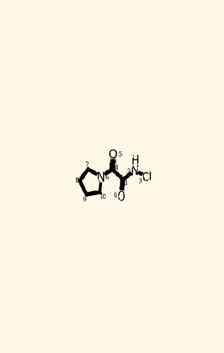 O=C(NCl)C(=O)N1CCCC1